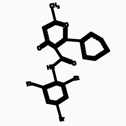 CCc1cc(Br)cc(CC)c1NC(=O)c1c(-c2ccccc2)oc(C)cc1=O